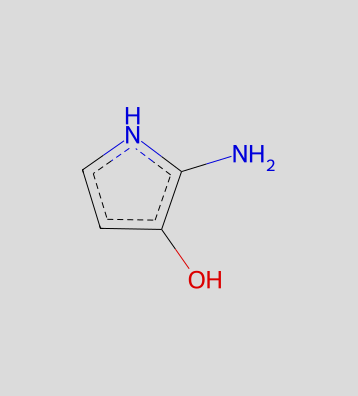 Nc1[nH]ccc1O